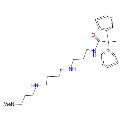 CNCCCNCCCCNCCCNC(=O)C(C)(c1ccccc1)c1ccccc1